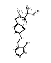 CN(Cc1ccc(OCc2ccccc2F)cc1)C(=O)C(N)CO